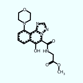 COC(=O)CNC(=O)c1c(O)c2cccc(N3CCOCC3)c2c2ncnn12